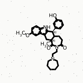 COc1ccc2[nH]c3c(c2c1)C[C@@]1(C)C(=O)N(CCN2CCCCCC2)C(=O)CCC1[C@@H]3c1cccc(O)c1